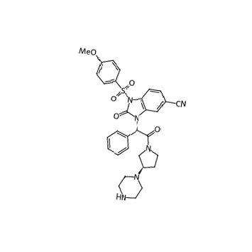 COc1ccc(S(=O)(=O)n2c(=O)n(C(C(=O)N3CC[C@@H](N4CCNCC4)C3)c3ccccc3)c3cc(C#N)ccc32)cc1